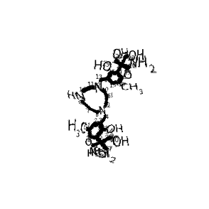 Cc1cc(CN2CCCNCCN(Cc3cc(C)cc(C(CO)(CO)C(N)=O)c3O)CCC2)c(O)c(C(CO)(CO)C(N)=O)c1